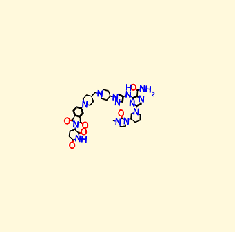 CN1CCN([C@H]2CCCN(c3cnc(C(N)=O)c(Nc4cnn(C5CCN(CC6CCN(c7ccc8c(c7)C(=O)N(C7CCC(=O)NC7=O)C8=O)CC6)CC5)c4)n3)C2)C1=O